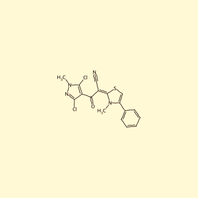 CN1C(c2ccccc2)=CSC1=C(C#N)C(=O)c1c(Cl)nn(C)c1Cl